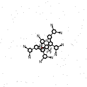 N#Cc1cc(C#N)cc(-c2ccc3c(c2)c2cc(-c4cc(C#N)cc(C#N)c4)ccc2n3-c2cc(C#N)cc(-n3c4ccc(-c5cc(C#N)cc(C#N)c5)cc4c4cc(-c5cc(C#N)cc(C#N)c5)ccc43)c2-c2ccc(C(F)(F)F)cc2C(F)(F)F)c1